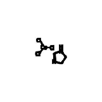 C1=NCCN1.[Cl][Co]([Cl])[Cl]